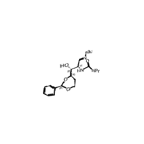 CCCCN=C[C@H](NC(=O)CCC)[C@@H](O)[C@H]1CCO[C@@H](c2ccccc2)O1